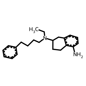 CCN(CCCCc1ccccc1)C1CCc2c(N)cccc2C1